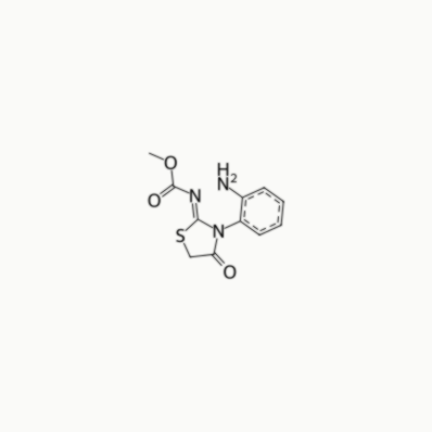 COC(=O)N=C1SCC(=O)N1c1ccccc1N